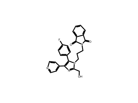 O=C1c2ccccc2C(=O)N1CCCn1c(CO)nc(-c2ccncc2)c1-c1ccc(F)cc1